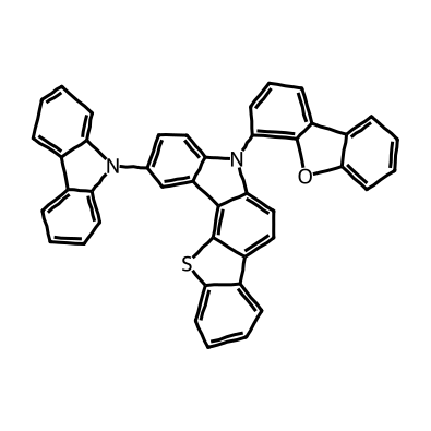 c1ccc2c(c1)oc1c(-n3c4ccc(-n5c6ccccc6c6ccccc65)cc4c4c5sc6ccccc6c5ccc43)cccc12